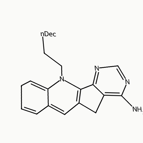 CCCCCCCCCCCCN1C2=CCC=CC2=CC2=C1c1ncnc(N)c1C2